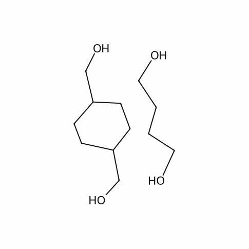 OCC1CCC(CO)CC1.OCCCCO